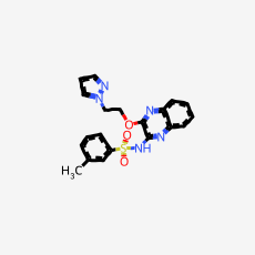 Cc1cccc(S(=O)(=O)Nc2nc3ccccc3nc2OCCn2cccn2)c1